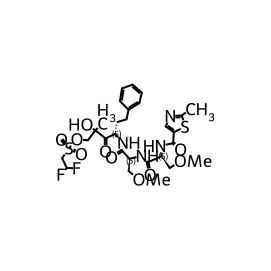 COC[C@H](NC(=O)c1cnc(C)s1)C(=O)N[C@@H](COC)C(=O)N[C@@H](CCc1ccccc1)C(=O)C(C)(O)COS(=O)(=O)CC(F)F